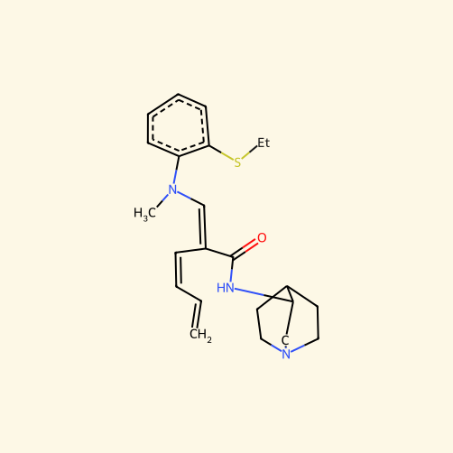 C=C/C=C\C(=C/N(C)c1ccccc1SCC)C(=O)NC1CN2CCC1CC2